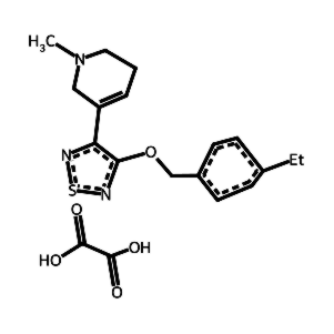 CCc1ccc(COc2nsnc2C2=CCCN(C)C2)cc1.O=C(O)C(=O)O